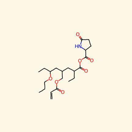 C=CC(=O)OCC(CC(CC)OCCC)CC(CC)C(=O)OC(=O)C1CCC(=O)N1